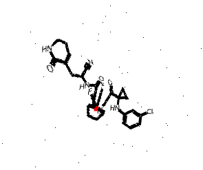 N#CC(CC1CCCNC1=O)NC(=O)C1C2CCC(CC2(F)F)N1C(=O)C1(Nc2cccc(Cl)c2)CC1